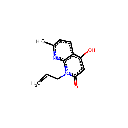 C=CCn1c(=O)cc(O)c2ccc(C)nc21